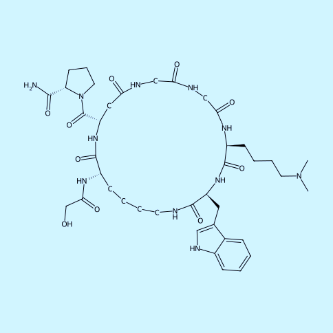 CN(C)CCCC[C@@H]1NC(=O)CNC(=O)CNC(=O)C[C@@H](C(=O)N2CCC[C@H]2C(N)=O)NC(=O)[C@@H](NC(=O)CO)CCCCNC(=O)[C@H](Cc2c[nH]c3ccccc23)NC1=O